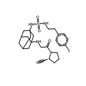 N#C[C@@H]1CCCN1C(=O)CNC12CC3CC(C1)CC(NS(=O)(=O)NCCc1ccc(F)cc1)(C3)C2